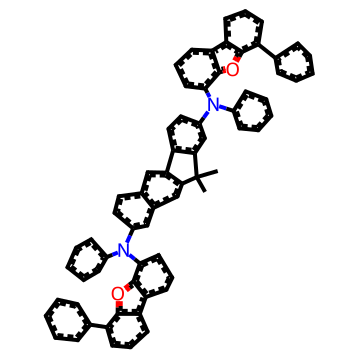 CC1(C)c2cc(N(c3ccccc3)c3cccc4c3oc3c(-c5ccccc5)cccc34)ccc2-c2cc3ccc(N(c4ccccc4)c4cccc5c4oc4c(-c6ccccc6)cccc45)cc3cc21